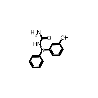 NC(=O)NN(c1ccccc1)c1cccc(O)c1